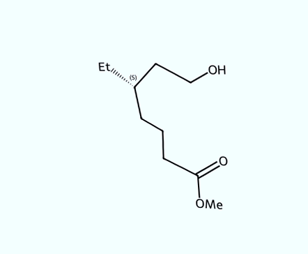 CC[C@H](CCO)CCCC(=O)OC